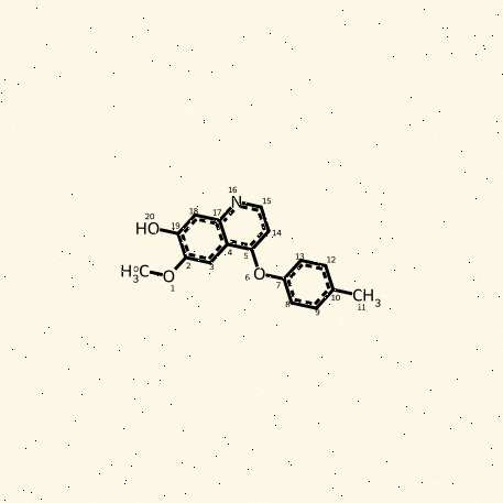 COc1cc2c(Oc3ccc(C)cc3)ccnc2cc1O